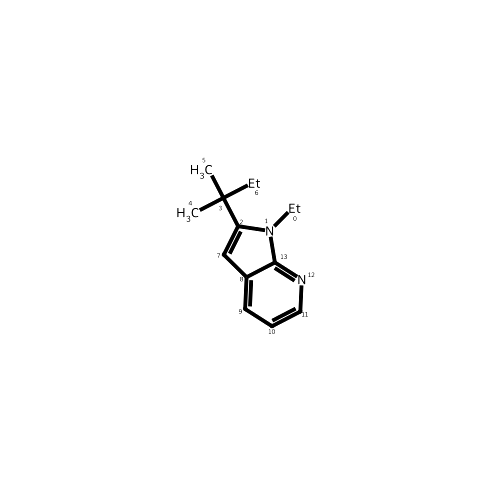 CCn1c(C(C)(C)CC)cc2cccnc21